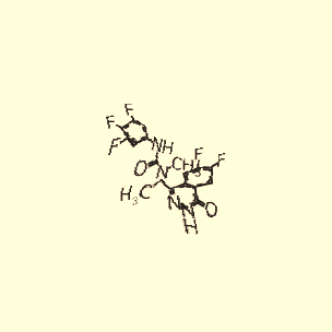 C[C@H](c1n[nH]c(=O)c2cc(F)c(F)cc12)N(C)C(=O)Nc1cc(F)c(F)c(F)c1